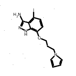 Nc1n[nH]c2c(OCCCn3cccc3)ccc(I)c12